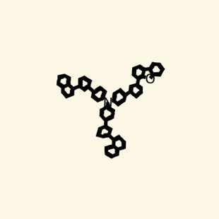 c1cc(-c2ccc(N(c3ccc(-c4cccc(-c5cccc6ccccc56)c4)cc3)c3ccc(-c4cccc(-c5cccc6c5oc5ccccc56)c4)cc3)cc2)cc(-c2cccc3ccccc23)c1